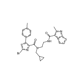 Cc1ccc(-c2sc(Br)nc2C(=O)N(CCNC(=O)c2c(C)nc3sccn23)CC2CC2)cc1